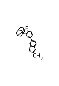 Cc1ccc2cc(-c3ccc(F)c(C45CC6CC(CC(C6)C4)C5)c3)ccc2c1